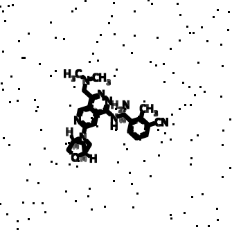 Cc1c(C#N)cccc1[C@@H](N)Nc1nnc(CN(C)C)c2cnc(N3C[C@H]4C[C@@H]3CO4)cc12